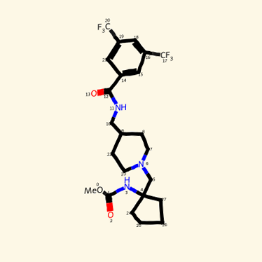 COC(=O)NC1(CN2CCC(CNC(=O)c3cc(C(F)(F)F)cc(C(F)(F)F)c3)CC2)CCCC1